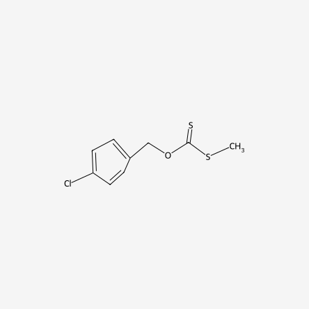 CSC(=S)OCc1ccc(Cl)cc1